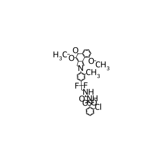 CCOC1=C2CN(c3ccc(C(F)(F)CNC(=O)NS(=O)(=O)c4ccccc4Cl)cc3C)C=C2c2c(OCC)cccc2C1=O